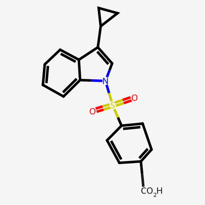 O=C(O)c1ccc(S(=O)(=O)n2cc(C3CC3)c3ccccc32)cc1